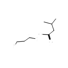 CC(C)CC(=O)OSCCCF